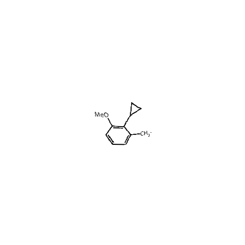 [CH2]c1cccc(OC)c1C1CC1